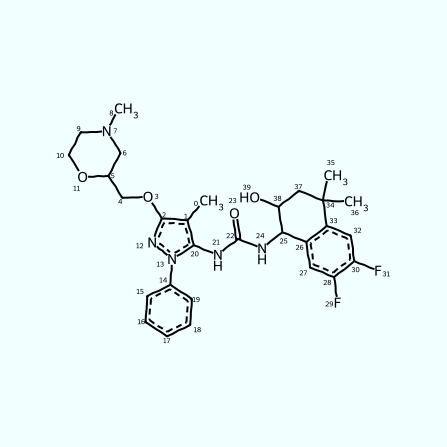 Cc1c(OCC2CN(C)CCO2)nn(-c2ccccc2)c1NC(=O)NC1c2cc(F)c(F)cc2C(C)(C)CC1O